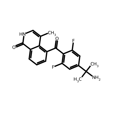 Cc1c[nH]c(=O)c2cccc(C(=O)c3c(F)cc(C(C)(C)N)cc3F)c12